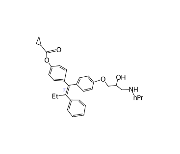 CCCNCC(O)COc1ccc(/C(=C(/CC)c2ccccc2)c2ccc(OC(=O)C3CC3)cc2)cc1